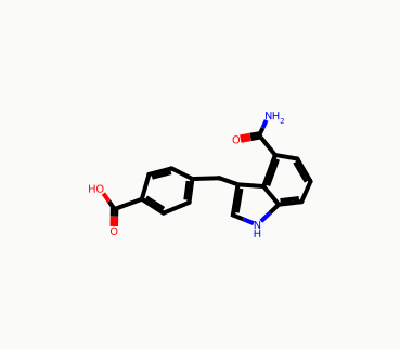 NC(=O)c1cccc2[nH]cc(Cc3ccc(C(=O)O)cc3)c12